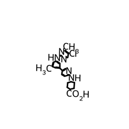 Cc1cc(Nc2ncc(Cl)c(C)n2)cc(-c2ccc(NC3CCC(C(=O)O)CC3)nc2)c1